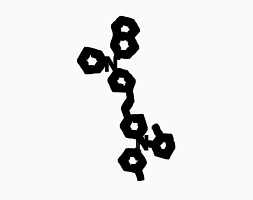 Cc1cccc(N(c2ccc(/C=C/c3ccc(N(c4ccccc4)c4ccc5ccccc5c4)cc3)cc2)c2ccccc2C)c1